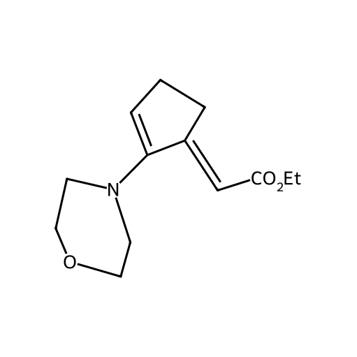 CCOC(=O)C=C1CCC=C1N1CCOCC1